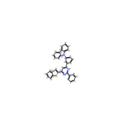 c1ccc(-c2nc(-c3cccc(-n4c5ccccc5c5ccccc54)c3)cc(-c3cc4ccccc4s3)n2)cc1